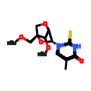 CCCCOC[C@@]12COC(C1OCCCC)[C@H](n1cc(C)c(=O)[nH]c1=S)O2